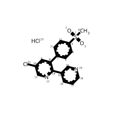 CS(=O)(=O)c1ccc(-c2cc(Cl)cnc2-c2cccnc2)cc1.Cl